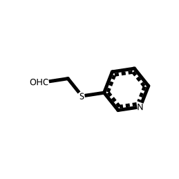 O=CCSc1cccnc1